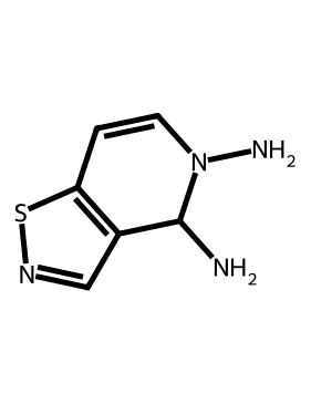 NC1c2cnsc2C=CN1N